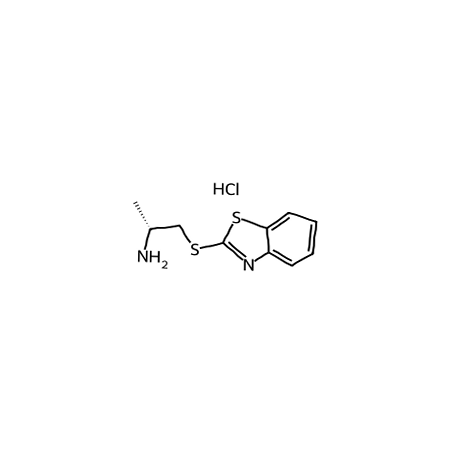 C[C@@H](N)CSc1nc2ccccc2s1.Cl